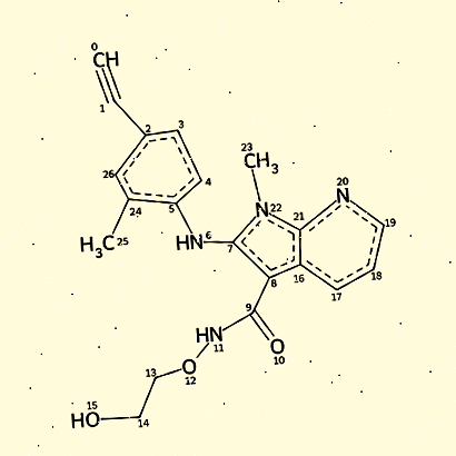 C#Cc1ccc(Nc2c(C(=O)NOCCO)c3cccnc3n2C)c(C)c1